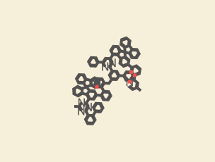 Cc1ccnc(-c2cccc(-c3ccc4c(c3)C3(c5ccccc5-c5ccccc53)c3cccc(-c5cc(-c6ccccc6)nc(-c6cc(Cc7ccncc7-c7ccccc7-c7cc(-c8nc(C)nc(-c9ccccc9-c9ccccc9)n8)c8c(c7)C7(c9ccccc9-c9ccccc97)c7ccccc7-8)cc(-c7ccccc7)c6)n5)c3-4)c2)c1